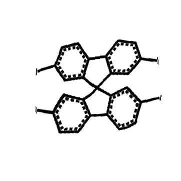 Ic1ccc2c(c1)C1(c3cc(I)ccc3-2)c2cc(I)ccc2-c2ccc(I)cc21